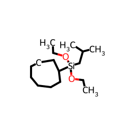 CCO[Si](CC(C)C)(OCC)C1CCCCCCC1